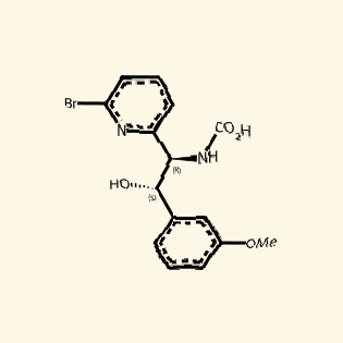 COc1cccc([C@H](O)[C@H](NC(=O)O)c2cccc(Br)n2)c1